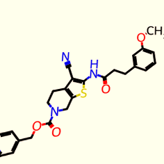 COc1cccc(CCC(=O)Nc2sc3c(c2C#N)CCN(C(=O)OCc2ccncc2)C3)c1